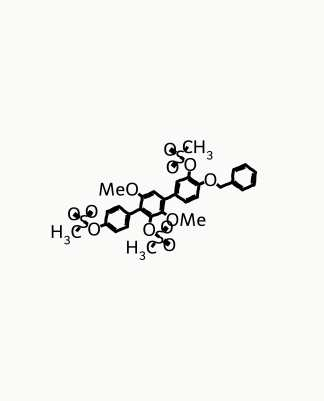 COc1cc(-c2ccc(OCc3ccccc3)c(OS(C)(=O)=O)c2)c(OC)c(OS(C)(=O)=O)c1-c1ccc(OS(C)(=O)=O)cc1